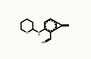 C=C1c2ccc(NC3CCCCO3)c(C=N)c21